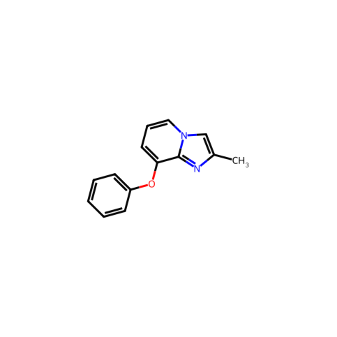 Cc1cn2cccc(Oc3ccccc3)c2n1